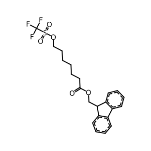 O=C(CCCCCCOS(=O)(=O)C(F)(F)F)OCC1c2ccccc2-c2ccccc21